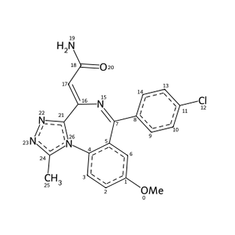 COc1ccc2c(c1)C(c1ccc(Cl)cc1)=N/C(=C\C(N)=O)c1nnc(C)n1-2